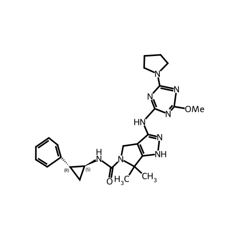 COc1nc(Nc2n[nH]c3c2CN(C(=O)N[C@H]2C[C@@H]2c2ccccc2)C3(C)C)nc(N2CCCC2)n1